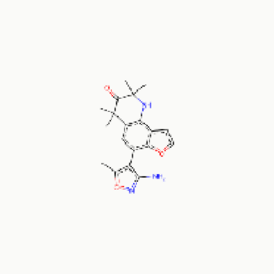 Cc1onc(N)c1-c1cc2c(c3ccoc13)NC(C)(C)C(=O)C2(C)C